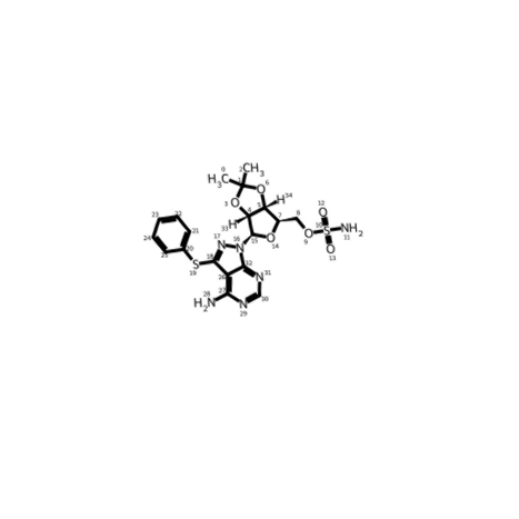 CC1(C)O[C@@H]2[C@H](O1)[C@@H](COS(N)(=O)=O)O[C@H]2n1nc(Sc2ccccc2)c2c(N)ncnc21